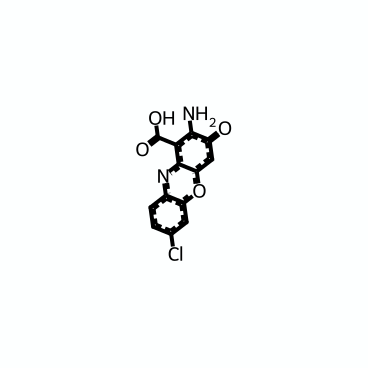 Nc1c(C(=O)O)c2nc3ccc(Cl)cc3oc-2cc1=O